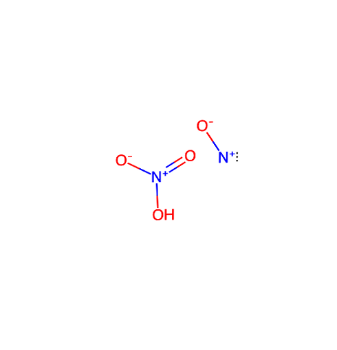 O=[N+]([O-])O.[N+][O-]